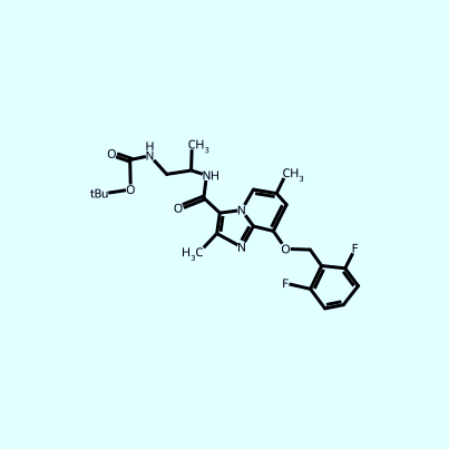 Cc1cc(OCc2c(F)cccc2F)c2nc(C)c(C(=O)NC(C)CNC(=O)OC(C)(C)C)n2c1